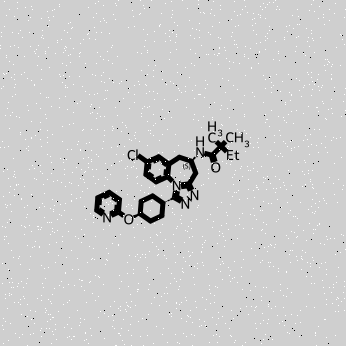 CCC(C)(C)C(=O)N[C@H]1Cc2cc(Cl)ccc2-n2c(nnc2[C@H]2CC[C@H](Oc3ccccn3)CC2)C1